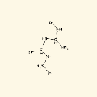 CCN[SiH](N)N[SiH](CC)N[SiH2]CC